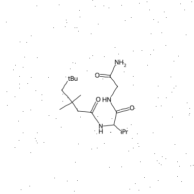 CC(C)C(NC(=O)CC(C)(C)CC(C)(C)C)C(=O)NCC(N)=O